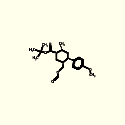 COc1ccc([C@@H]2C[C@@H](C)N(C(=O)OC(C)(C)C)C[C@@H]2COC=O)cc1